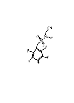 CCN(CC#N)S(=O)(=O)Cc1c(F)c(F)c(F)c(F)c1F